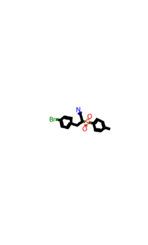 Cc1ccc(S(=O)(=O)C(C#N)Cc2ccc(Br)cc2)cc1